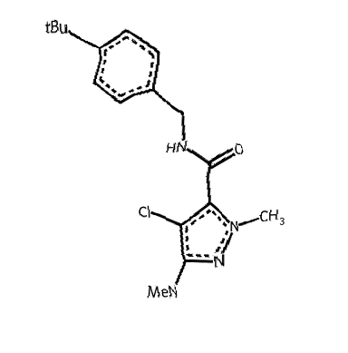 CNc1nn(C)c(C(=O)NCc2ccc(C(C)(C)C)cc2)c1Cl